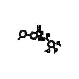 COc1cc(C(=O)Nc2n[nH]c3cc(-c4cccc(C)c4)ccc23)cc(OC)c1OC